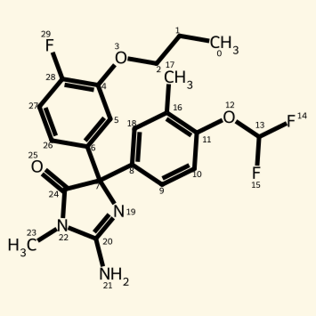 CCCOc1cc(C2(c3ccc(OC(F)F)c(C)c3)N=C(N)N(C)C2=O)ccc1F